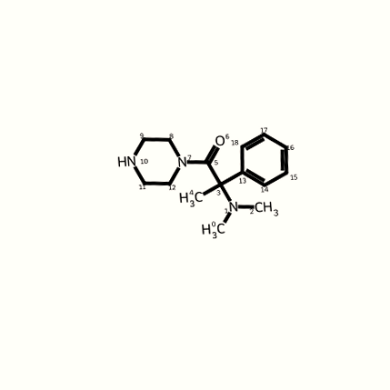 CN(C)C(C)(C(=O)N1CCNCC1)c1ccccc1